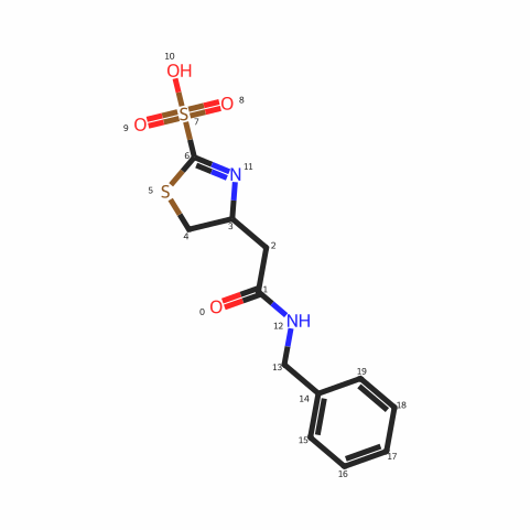 O=C(CC1CSC(S(=O)(=O)O)=N1)NCc1ccccc1